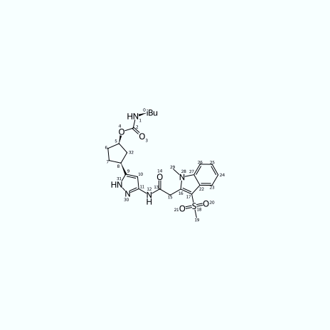 CC[C@H](C)NC(=O)O[C@@H]1CC[C@H](c2cc(NC(=O)Cc3c(S(C)(=O)=O)c4ccccc4n3C)n[nH]2)C1